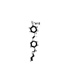 C=CCOC[C@H]1CC[C@H](CC[C@H]2CC[C@H](CCCCC)CC2)CC1